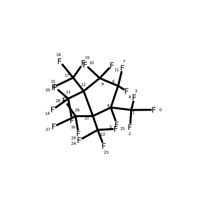 FC(F)(F)C1(F)C(F)(F)C(F)(F)C(C(F)(F)F)(C(F)(F)F)C1(C(F)(F)F)C(F)(F)F